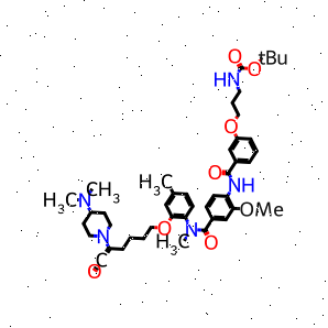 COc1cc(C(=O)N(C)c2ccc(C)cc2OCCCCC(=C=O)N2CCC(N(C)C)CC2)ccc1NC(=O)c1cccc(OCCCNC(=O)OC(C)(C)C)c1